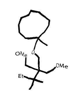 CCC(C)(C)C(COC)(COC)COC1(C)CCCCCCC1